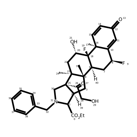 CCOC(=O)C1[C@@H]2C[C@@]3(C)[C@@H]4C[C@H](F)C5=CC(=O)C=C[C@]5(C)[C@@]4(F)[C@@H](O)C[C@]3(C)[C@]2(C(=O)CO)CN1Cc1ccccc1